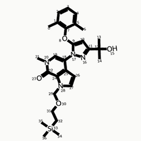 Cc1cccc(C)c1Oc1cc(C(C)(C)O)nn1-c1cn(C)c(=O)c2c1ccn2COCC[Si](C)(C)C